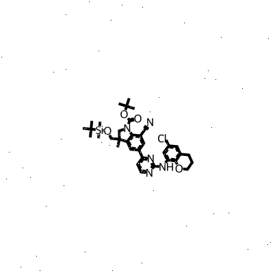 CC(C)(C)OC(=O)N1CC(C)(CO[Si](C)(C)C(C)(C)C)c2cc(-c3ccnc(Nc4cc(Cl)cc5c4OCCC5)n3)cc(C#N)c21